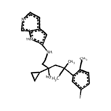 Cc1ccc(F)cc1C(C)(C)CC(O)(CNc1cc2ccncc2[nH]1)C1CC1